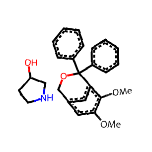 COc1cc2cc(c1OC)C(c1ccccc1)(c1ccccc1)OC2.OC1CCNC1